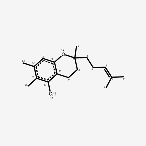 CC(C)=CCCC1(C)CCc2c(cc(C)c(C)c2O)O1